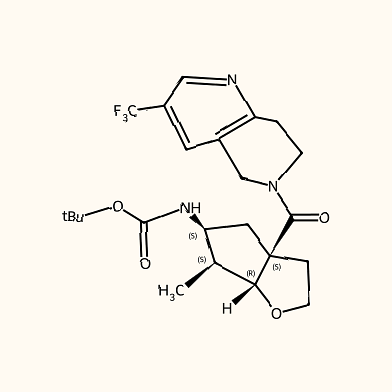 C[C@H]1[C@@H](NC(=O)OC(C)(C)C)C[C@]2(C(=O)N3CCc4ncc(C(F)(F)F)cc4C3)CCO[C@H]12